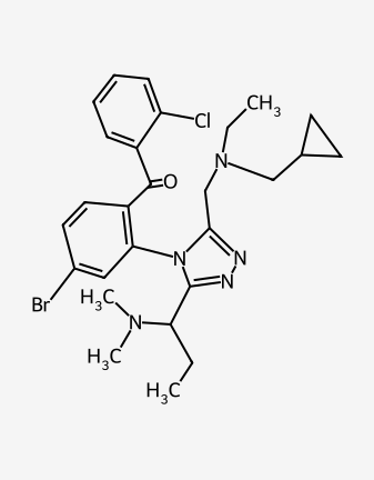 CCC(c1nnc(CN(CC)CC2CC2)n1-c1cc(Br)ccc1C(=O)c1ccccc1Cl)N(C)C